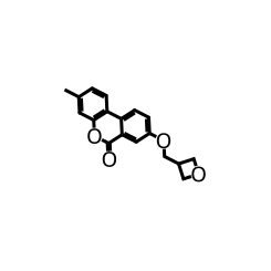 Cc1ccc2c(c1)oc(=O)c1cc(OCC3COC3)ccc12